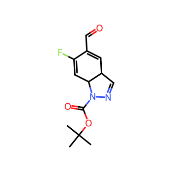 CC(C)(C)OC(=O)N1N=CC2C=C(C=O)C(F)=CC21